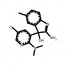 Cc1ccc2c(c1)C(O)(c1cc(Cl)cnc1N(C)C)C(N)=N2